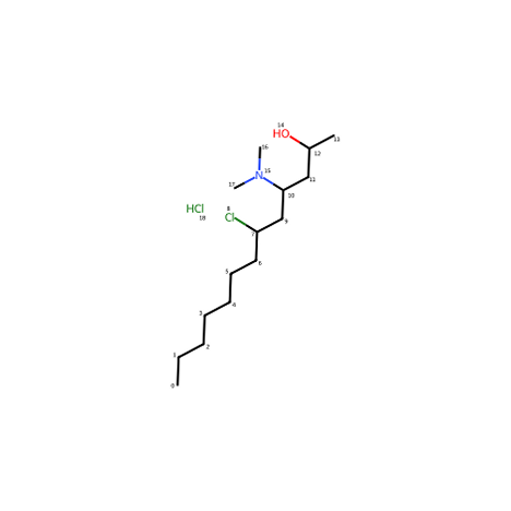 CCCCCCCC(Cl)CC(CC(C)O)N(C)C.Cl